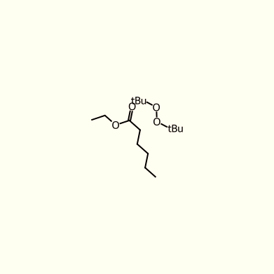 CC(C)(C)OOC(C)(C)C.CCCCCC(=O)OCC